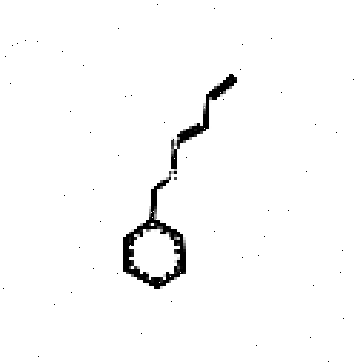 C=C[C]=NOCc1ccccc1